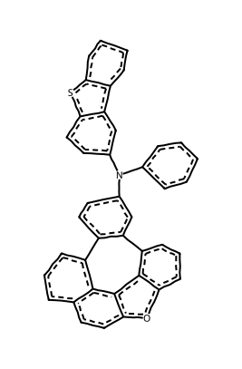 c1ccc(N(c2ccc3c(c2)-c2cccc4oc5ccc6cccc-3c6c5c24)c2ccc3sc4ccccc4c3c2)cc1